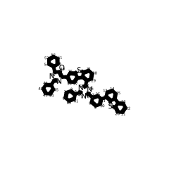 c1ccc(-c2nc(-c3cccc(-c4cccc5c4sc4ccccc45)c3)nc(-c3cccc4sc5cc(-c6nc(-c7ccccc7)nc7c6oc6ccccc67)ccc5c34)n2)cc1